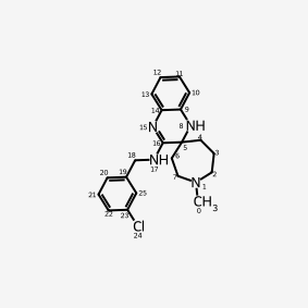 CN1CCCC2(CC1)Nc1ccccc1N=C2NCc1cccc(Cl)c1